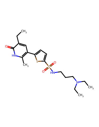 CCc1cc(-c2ccc(S(=O)(=O)NCCCN(CC)CC)s2)c(C)[nH]c1=O